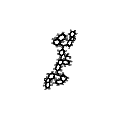 C[Si]1(C)c2cc(N(c3ccc4oc5ccccc5c4c3)c3cccc4ccccc34)ccc2-c2cc3ccc(N(c4ccc5oc6ccccc6c5c4)c4cccc5ccccc45)cc3c3cccc1c23